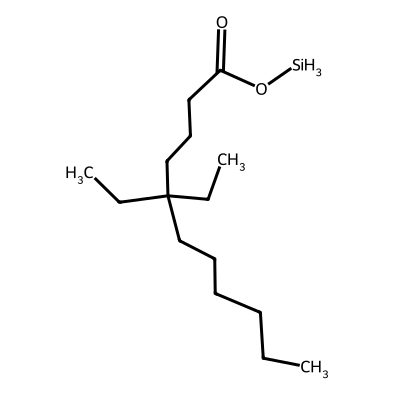 CCCCCCC(CC)(CC)CCCC(=O)O[SiH3]